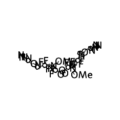 COCCn1c(Cc2c(F)cc(-c3cccc(OCc4ccc(-n5ccnn5)nc4)n3)c(F)c2F)nc2c(F)cc(C(=O)OC(=O)c3cc(F)c4nc(Cc5c(F)cc(-c6cccc(OCc7ccc(-n8ccnn8)nc7)n6)c(F)c5F)n(CCOC)c4c3)cc21